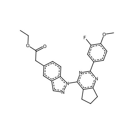 CCOC(=O)Cc1ccc2c(cnn2-c2nc(-c3ccc(OC)c(F)c3)nc3c2CCC3)c1